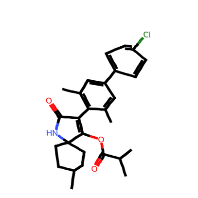 Cc1cc(-c2ccc(Cl)cc2)cc(C)c1C1=C(OC(=O)C(C)C)C2(CCC(C)CC2)NC1=O